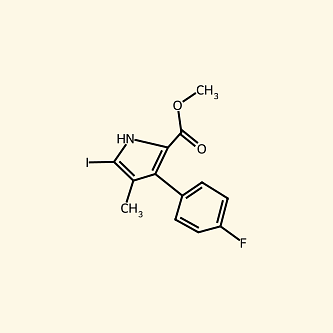 COC(=O)c1[nH]c(I)c(C)c1-c1ccc(F)cc1